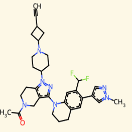 C#CC1CC(N2CCC(n3nc(N4CCCc5cc(-c6cnn(C)c6)c(C(F)F)cc54)c4c3CCN(C(C)=O)C4)CC2)C1